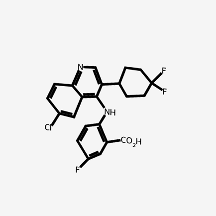 O=C(O)c1cc(F)ccc1Nc1c(C2CCC(F)(F)CC2)cnc2ccc(Cl)cc12